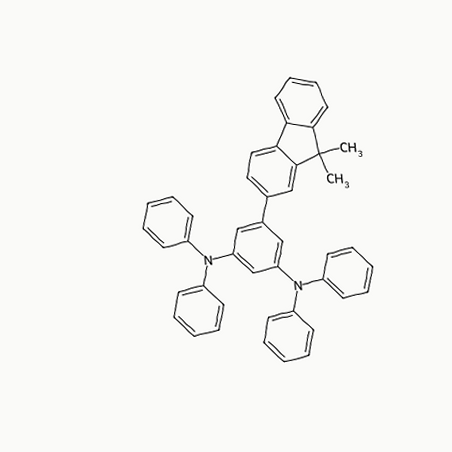 CC1(C)c2ccccc2-c2ccc(-c3cc(N(c4ccccc4)c4ccccc4)cc(N(c4ccccc4)c4ccccc4)c3)cc21